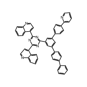 c1ccc(-c2ccc(-c3cc(-c4ccc(-c5ccccn5)cc4)cc(-c4nc(-c5ccnc6ccccc56)nc(-c5ccnc6ccccc56)n4)c3)cc2)cc1